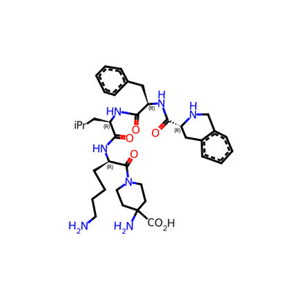 CC(C)C[C@@H](NC(=O)[C@@H](Cc1ccccc1)NC(=O)[C@H]1Cc2ccccc2CN1)C(=O)N[C@H](CCCCN)C(=O)N1CCC(N)(C(=O)O)CC1